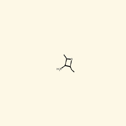 CC1OC(C)C1N